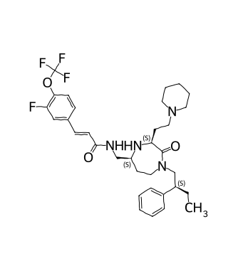 CC[C@H](CN1CC[C@@H](CNC(=O)C=Cc2ccc(OC(F)(F)F)c(F)c2)N[C@@H](CCN2CCCCC2)C1=O)c1ccccc1